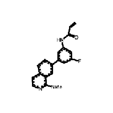 C=CC(=O)Nc1cc(F)cc(-c2ccc3ccnc(NC)c3c2)c1